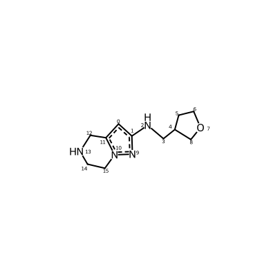 c1c(NCC2CCOC2)nn2c1CNCC2